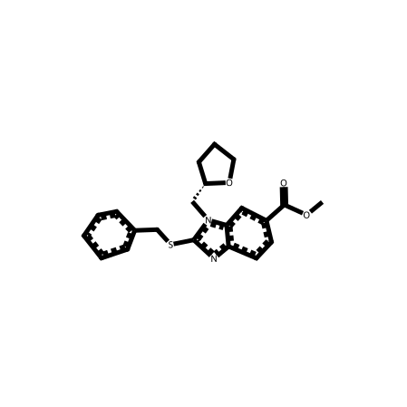 COC(=O)c1ccc2nc(SCc3ccccc3)n(C[C@@H]3CCCO3)c2c1